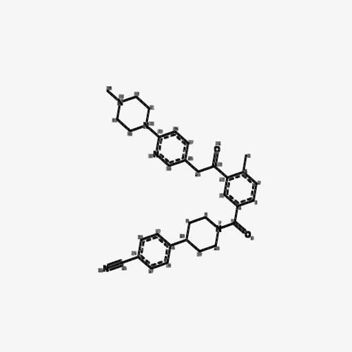 Cc1ccc(C(=O)N2CCC(c3ccc(C#N)cc3)CC2)cc1C(=O)Cc1ccc(N2CCN(C)CC2)nc1